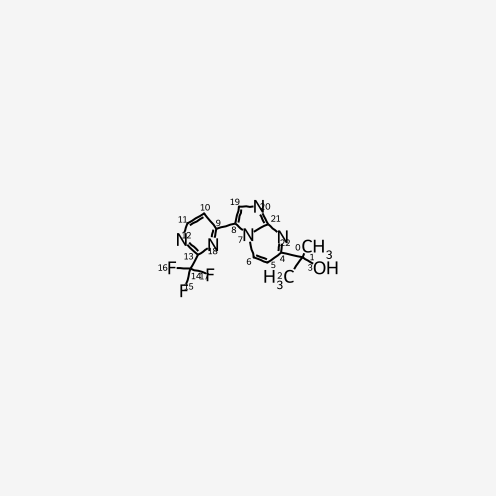 CC(C)(O)c1ccn2c(-c3ccnc(C(F)(F)F)n3)cnc2n1